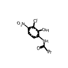 CC(C)C(=O)Nc1ccc([N+](=O)[O-])c(Cl)c1O